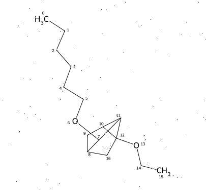 CCCCCCOC1C2CC3C1C3(OCC)C2